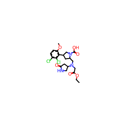 CCOC(=O)CN(CC1CC(c2c(OC)ccc(Cl)c2Cl)CN1C(=O)O)C1CNC(=O)C1